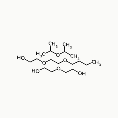 CC(C)OC(C)C.CCCCOCCOCCO.OCCOCCO